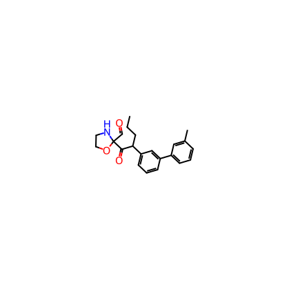 CCCC(C(=O)C1(C=O)NCCO1)c1cccc(-c2cccc(C)c2)c1